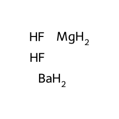 F.F.[BaH2].[MgH2]